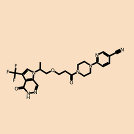 CC(COCCC(=O)N1CCN(c2ccc(C#N)cn2)CC1)n1cc(C(F)(F)F)c2c(=O)[nH]ncc21